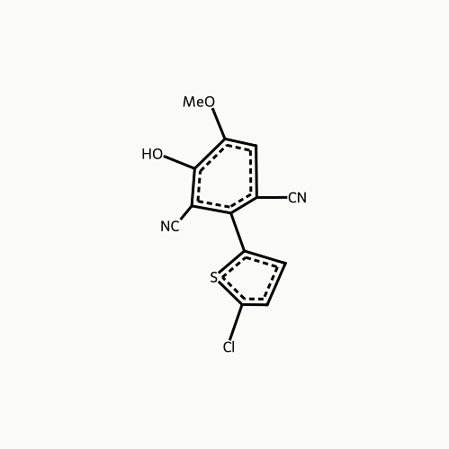 COc1cc(C#N)c(-c2ccc(Cl)s2)c(C#N)c1O